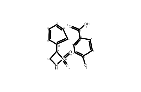 O=C(O)c1ccc(Cl)cc1.O=S1(=O)NCC1c1ccccc1